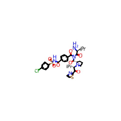 CC(C)[C@H](N)C(=O)N(C(=O)c1ccc(C(=O)NS(=O)(=O)c2ccc(Cl)cc2)cc1)C(=O)[C@@H]1CCCN1[C@H](C(=O)c1nccs1)C(C)C